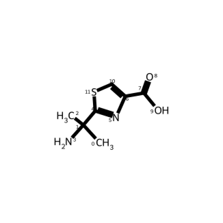 CC(C)(N)c1nc(C(=O)O)cs1